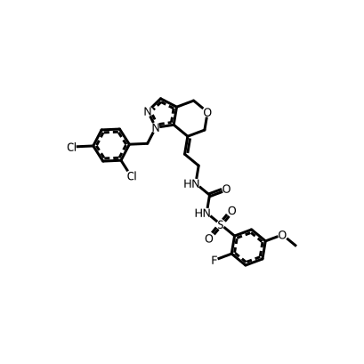 COc1ccc(F)c(S(=O)(=O)NC(=O)NCC=C2COCc3cnn(Cc4ccc(Cl)cc4Cl)c32)c1